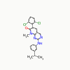 CC(C)c1cccc(Nc2ncc3cc(-c4c(Cl)cccc4Cl)c(=O)n(C)c3n2)c1